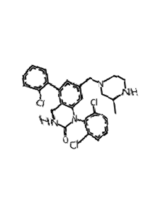 CC1CN(Cc2cc(-c3ccccc3Cl)c3c(c2)N(c2c(Cl)cccc2Cl)C(=O)NC3)CCN1